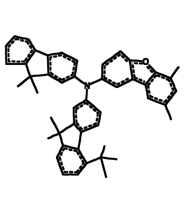 Cc1cc(C)c2oc3ccc(N(c4ccc5c(c4)C(C)(C)c4ccccc4-5)c4ccc5c(c4)C(C)(C)c4cccc(C(C)(C)C)c4-5)cc3c2c1